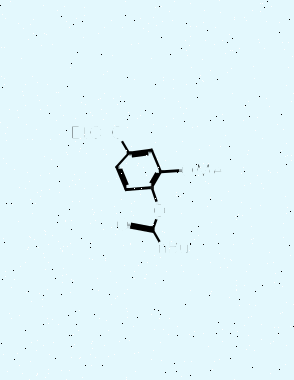 [CH2]CCCC(=O)Oc1ccc(C(=O)OCC)cc1OC